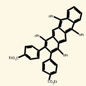 CCCc1c(-c2ccc(C(=O)OCC)cc2)c(-c2ccc(C(=O)OCC)cc2)c(CCC)c2cc3c(CCC)c4ccccc4c(CCC)c3cc12